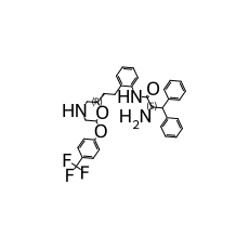 N[C@H](C(=O)Nc1ccccc1CC[C@@H]1CNCC(Oc2ccc(C(F)(F)F)cc2)O1)C(c1ccccc1)c1ccccc1